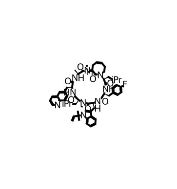 C=CC(C)(C)n1cc(C[C@@H]2NC(=O)[C@H](Cc3ccc(F)cc3)NC(=O)[C@H](CC(C)C)N3CC/C=C\C[C@@H](C3=O)N(C)C(=O)[C@H](C)NC(=O)[C@H](Cc3ccc4ncccc4c3)NC(=O)[C@H](CC(C)C)N(C)C2=O)c2ccccc21